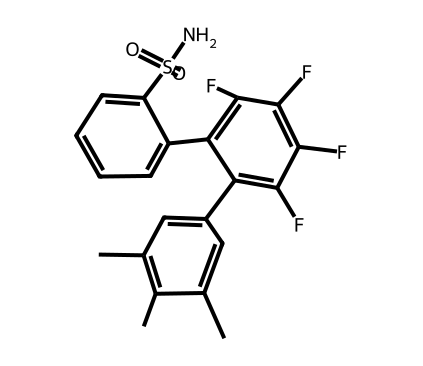 Cc1cc(-c2c(F)c(F)c(F)c(F)c2-c2ccccc2S(N)(=O)=O)cc(C)c1C